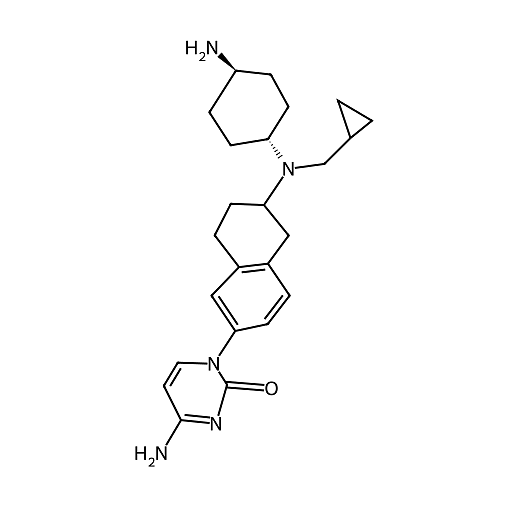 Nc1ccn(-c2ccc3c(c2)CCC(N(CC2CC2)[C@H]2CC[C@H](N)CC2)C3)c(=O)n1